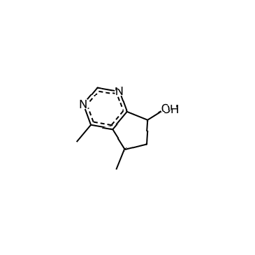 Cc1ncnc2c1C(C)CC2O